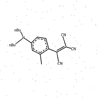 CCCCN(CCCC)c1ccc(C(C#N)=C(C#N)C#N)c(C)c1